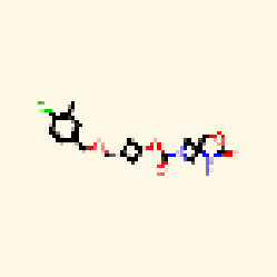 Cc1cc(COC[C@H]2C[C@@H](OC(=O)N3CC4(COC(=O)N4)C3)C2)ccc1Cl